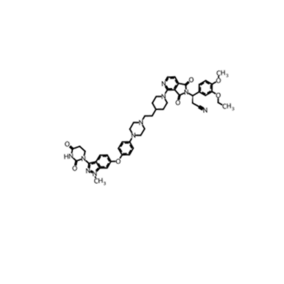 CCOc1cc([C@@H](CC#N)N2C(=O)c3ccnc(N4CCC(CCN5CCN(c6ccc(Oc7ccc8c(N9CCC(=O)NC9=O)nn(C)c8c7)cc6)CC5)CC4)c3C2=O)ccc1OC